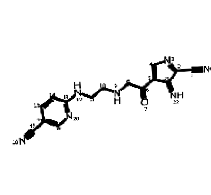 N#CC1=NC=C(C(=O)CNCCNc2ccc(C#N)cn2)C1=N